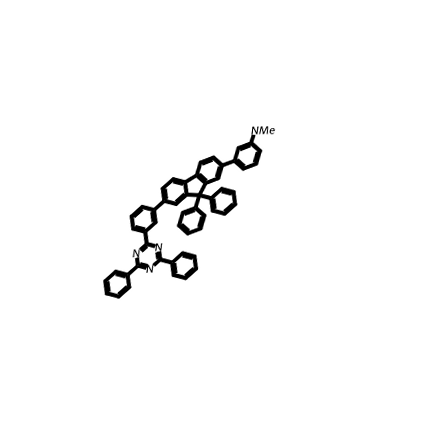 CNc1cccc(-c2ccc3c(c2)C(c2ccccc2)(c2ccccc2)c2cc(-c4cccc(-c5nc(-c6ccccc6)nc(-c6ccccc6)n5)c4)ccc2-3)c1